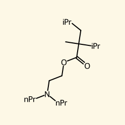 CCCN(CCC)CCOC(=O)C(C)(CC(C)C)C(C)C